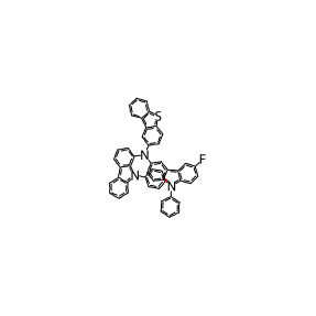 Fc1ccc2c(c1)c1cc(N(c3ccc4sc5ccccc5c4c3)c3cccc4c5ccccc5n(-c5ccccc5)c34)ccc1n2-c1ccccc1